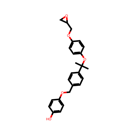 CC(C)(Oc1ccc(OCC2CO2)cc1)c1ccc(COc2ccc(O)cc2)cc1